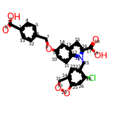 O=C(O)c1ccc(COc2ccc3c(c2)cc(C(=O)O)n3Cc2cc3c(cc2Cl)OOC3)cc1